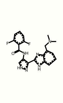 CN(C)Cc1cccc2[nH]c(-c3n[nH]cc3NC(=O)c3c(F)cccc3F)nc12